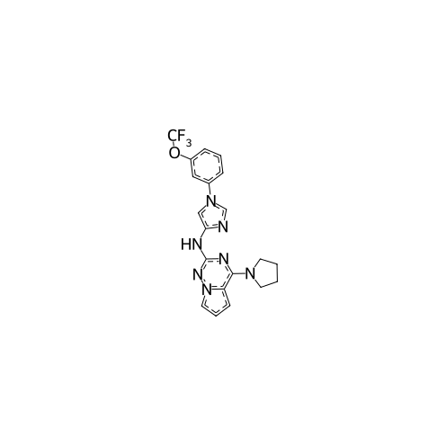 FC(F)(F)Oc1cccc(-n2cnc(Nc3nc(N4CCCC4)c4cccn4n3)c2)c1